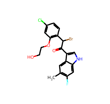 Cc1cc2c(C(=O)C(Br)c3ccc(Cl)cc3OCCO)c[nH]c2cc1F